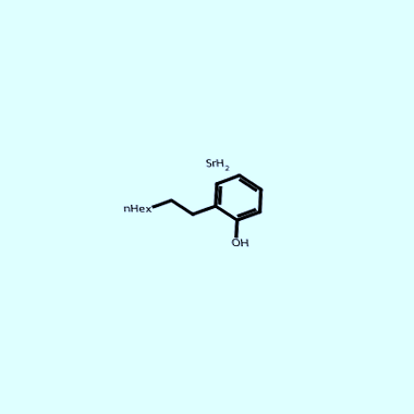 CCCCCCCCc1ccccc1O.[SrH2]